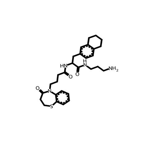 NCCCNC(=O)C(Cc1ccc2c(c1)CCCC2)NC(=O)CCCN1C(=O)CCSc2ccccc21